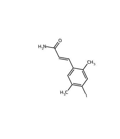 Cc1cc(C=CC(N)=O)c(C)cc1I